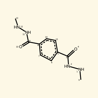 CNNC(=O)c1ccc(C(=O)NNC)cc1